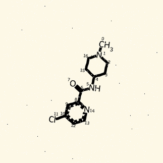 CN1CCC(NC(=O)c2cc(Cl)ccn2)CC1